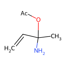 C=CC(C)(N)OC(C)=O